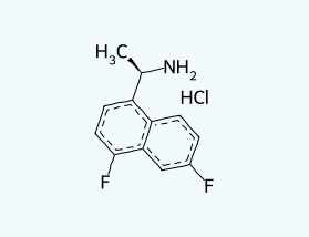 C[C@@H](N)c1ccc(F)c2cc(F)ccc12.Cl